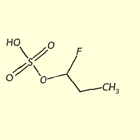 CCC(F)OS(=O)(=O)O